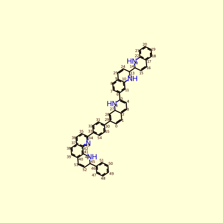 C1=CC2=CC=C(c3ccc4c(c3)NC(C3C=Cc5ccccc5N3)C=C4)NC2C=C1c1ccc(-c2ccc3ccc4c(c3n2)NC(c2ccccc2)C=C4)cc1